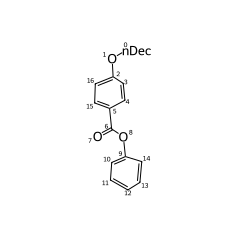 CCCCCCCCCCOc1ccc(C(=O)Oc2ccccc2)cc1